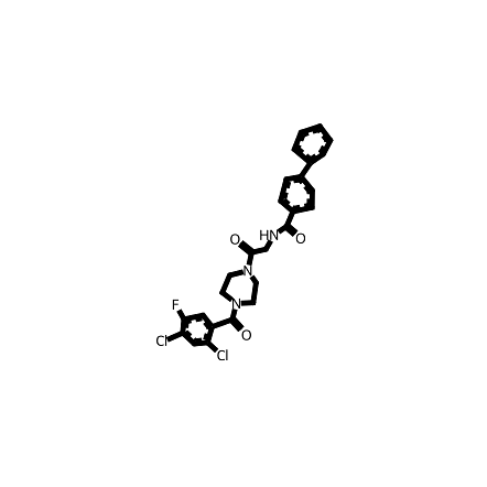 O=C(NCC(=O)N1CCN(C(=O)c2cc(F)c(Cl)cc2Cl)CC1)c1ccc(-c2ccccc2)cc1